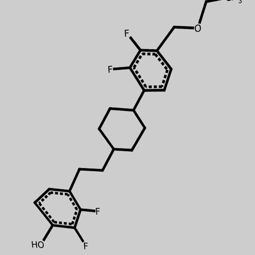 CCOCc1ccc(C2CCC(CCc3ccc(O)c(F)c3F)CC2)c(F)c1F